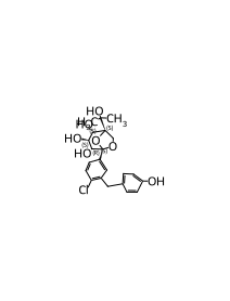 CC(C)(O)[C@@]12CO[C@@](c3ccc(Cl)c(Cc4ccc(O)cc4)c3)(O1)[C@H](O)[C@@H](O)[C@@H]2O